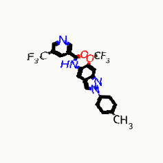 C[C@H]1CC[C@H](n2cc3cc(NC(=O)c4cncc(C(F)(F)F)c4)c(OC(F)(F)F)cc3n2)CC1